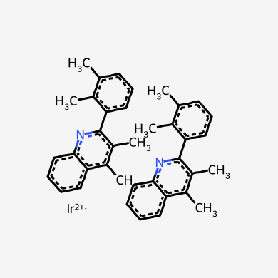 Cc1cccc(-c2nc3ccccc3c(C)c2C)c1C.Cc1cccc(-c2nc3ccccc3c(C)c2C)c1C.[Ir+2]